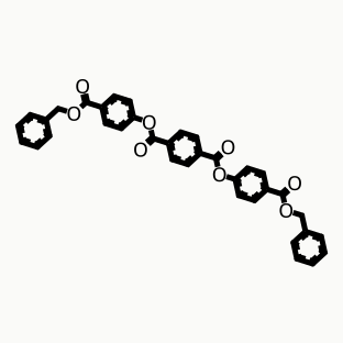 O=C(OCc1ccccc1)c1ccc(OC(=O)c2ccc(C(=O)Oc3ccc(C(=O)OCc4ccccc4)cc3)cc2)cc1